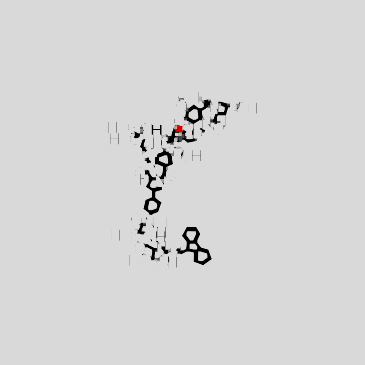 COC1=CN2C(=O)c3cc(OC)c(OCCCOc4cc5c(cc4OC)C(=O)N4C=C(c6ccc(NC(=O)[C@H](C)NC(=O)[C@@H](NC(=O)OCC7c8ccccc8-c8ccccc87)C(C)C)cc6)C[C@H]4C(=O)N5COCC[Si](C)(C)C)cc3N(COCC[Si](C)(C)C)C(=O)[C@@H]2C1